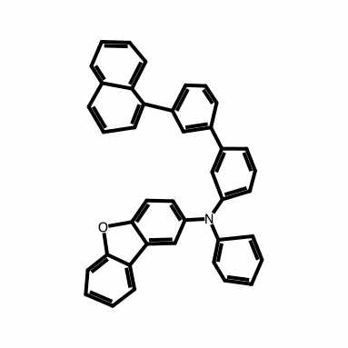 c1ccc(N(c2cccc(-c3cccc(-c4cccc5ccccc45)c3)c2)c2ccc3oc4ccccc4c3c2)cc1